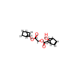 O=C(COC(=O)C1CC2C=CC1C2O)OC1CC2CCC1C2